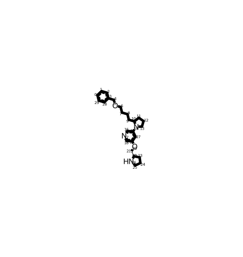 c1ccc(COCCCCC2CCCN2c2cncc(OC[C@@H]3CCCN3)c2)cc1